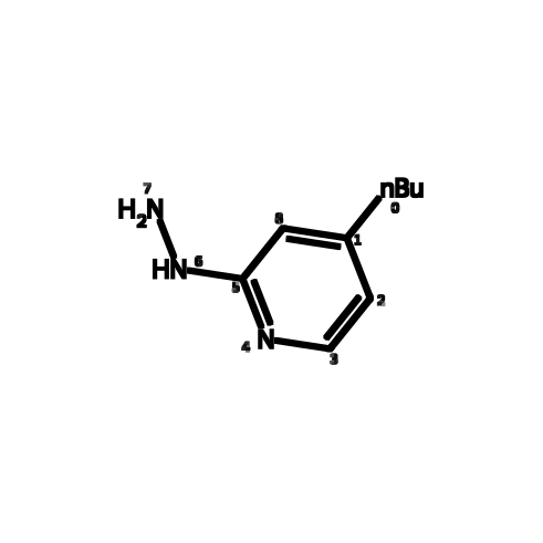 CCCCc1ccnc(NN)c1